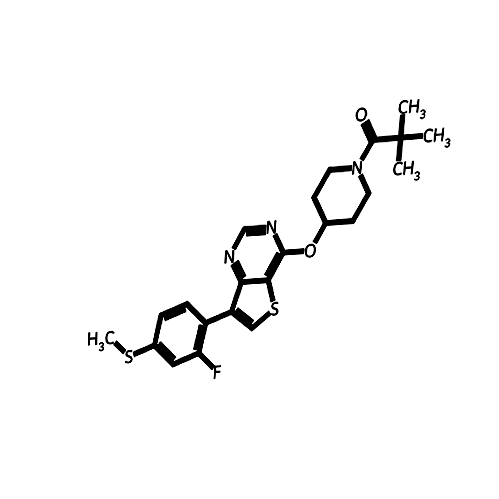 CSc1ccc(-c2csc3c(OC4CCN(C(=O)C(C)(C)C)CC4)ncnc23)c(F)c1